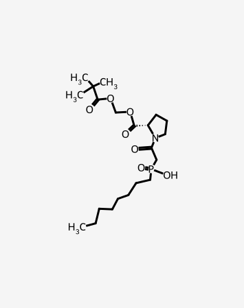 CCCCCCCCP(=O)(O)CC(=O)N1CCC[C@H]1C(=O)OCOC(=O)C(C)(C)C